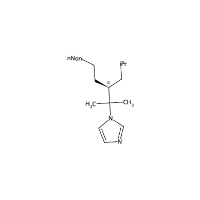 CCCCCCCCCCC[C@@H](CC(C)C)C(C)(C)n1ccnc1